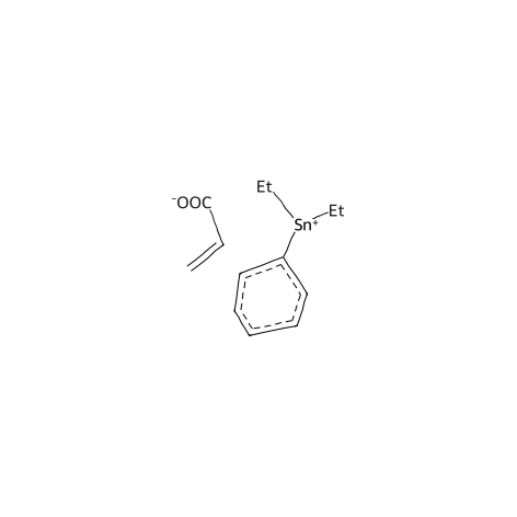 C=CC(=O)[O-].C[CH2][Sn+]([CH2]C)[c]1ccccc1